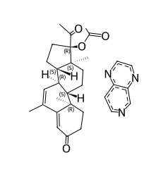 CC(=O)O[C@]1(C(C)=O)CC[C@H]2[C@@H]3C=C(C)C4=CC(=O)CC[C@]4(C)[C@H]3CC[C@@]21C.c1cc2nccnc2cn1